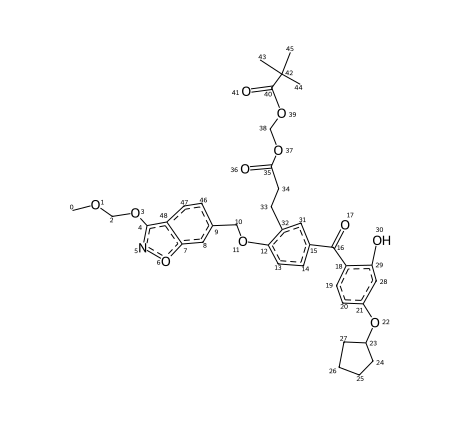 COCOc1noc2cc(COc3ccc(C(=O)c4ccc(OC5CCCC5)cc4O)cc3CCC(=O)OCOC(=O)C(C)(C)C)ccc12